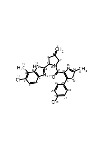 C=C1CC(c2nc3ccc(Cl)c(C)c3[nH]2)N(C(=O)c2nc(C)sc2-c2ccc(Cl)cc2)C1